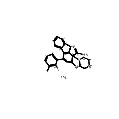 CCCCC1C=C(c2cccc(Cl)c2Cl)C2=C(Cc3ccccc32)C1(C(N)=O)N1CCNCC1.Cl